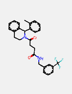 Cc1ccccc1C1c2ccccc2CCN1C(=O)CCC(=O)NCc1cccc(C(F)(F)F)c1